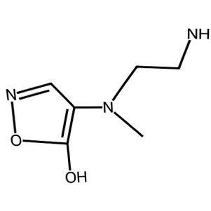 CN(CCN)c1cnoc1O